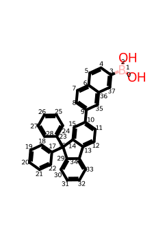 OB(O)c1ccc2ccc(-c3ccc4c(c3)C(c3ccccc3)(c3ccccc3)c3ccccc3-4)cc2c1